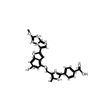 COc1nn2c(-c3cc4c(OCc5nc(-c6ccc(C(=O)O)cc6)sc5C)cc(F)cc4o3)cnc2s1